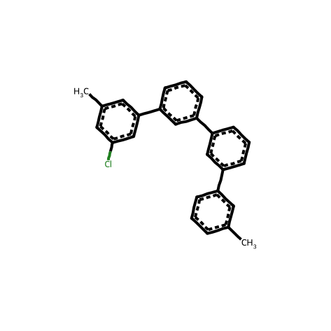 Cc1cccc(-c2cccc(-c3cccc(-c4cc(C)cc(Cl)c4)c3)c2)c1